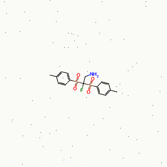 Cc1ccc(S(=O)(=O)C(F)(CN)S(=O)(=O)c2ccc(C)cc2)cc1